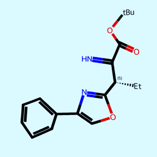 CC[C@@H](C(=N)C(=O)OC(C)(C)C)c1nc(-c2ccccc2)co1